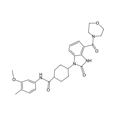 COc1cc(NC(=O)C2CCC(n3c(=O)[nH]c4c(C(=O)N5CCOCC5)cccc43)CC2)ccc1C